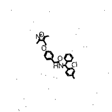 Cc1ccc(C(NC(=O)Cc2ccc(OCc3c(C)noc3C)cc2)c2ccccc2)c(Cl)c1